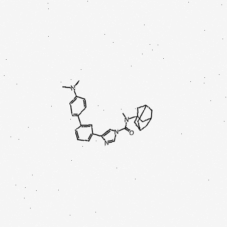 CN(C)c1ccc(-c2cccc(-c3cn(C(=O)N(C)C45CC6CC(CC(C6)C4)C5)cn3)c2)cc1